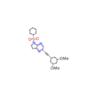 COc1cc(C#Cc2cnc3c(ccn3S(=O)(=O)c3ccccc3)n2)cc(OC)c1